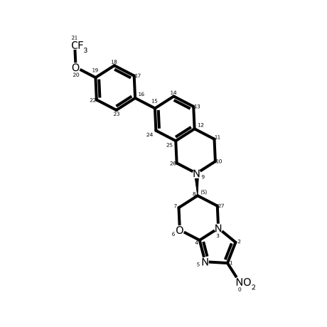 O=[N+]([O-])c1cn2c(n1)OC[C@@H](N1CCc3ccc(-c4ccc(OC(F)(F)F)cc4)cc3C1)C2